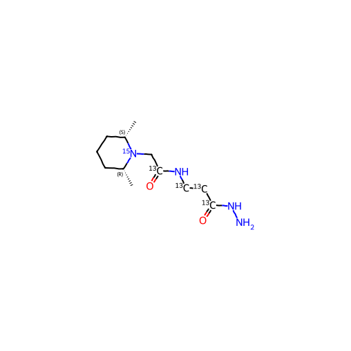 C[C@@H]1CCC[C@H](C)[15N]1C[13C](=O)N[13CH2][13CH2][13C](=O)NN